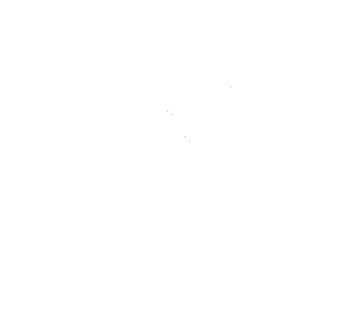 Cl.Cl.c1cc2c(ccc3cnn(CC4CCN4)c32)o1